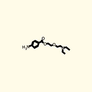 CCN(CC)CCOCCOC(=O)c1ccc(N)cc1